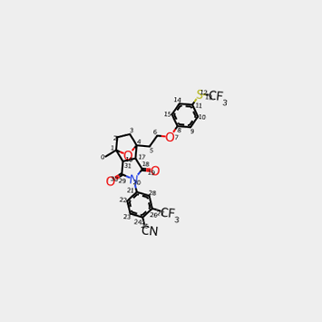 CC12CCC(CCOc3ccc(SC(F)(F)F)cc3)(O1)C1C(=O)N(c3ccc(C#N)c(C(F)(F)F)c3)C(=O)C12